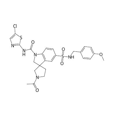 COc1ccc(CNS(=O)(=O)c2ccc3c(c2)C2(CCN(C(C)=O)C2)CN3C(=O)Nc2ncc(Cl)s2)cc1